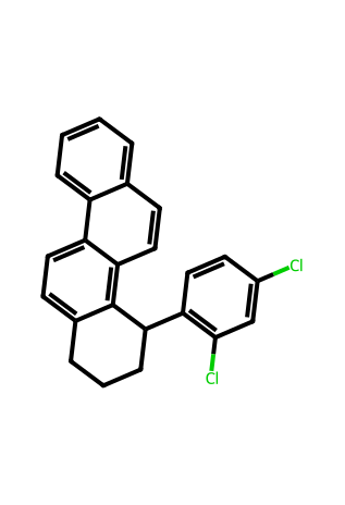 Clc1ccc(C2CCCc3ccc4c(ccc5ccccc54)c32)c(Cl)c1